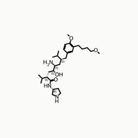 COCCCCc1cc(C[C@@H](C[C@H](N)[C@@H](O)C[C@H](C(=O)N[C@@H]2CCNC2)C(C)C)C(C)C)ccc1OC